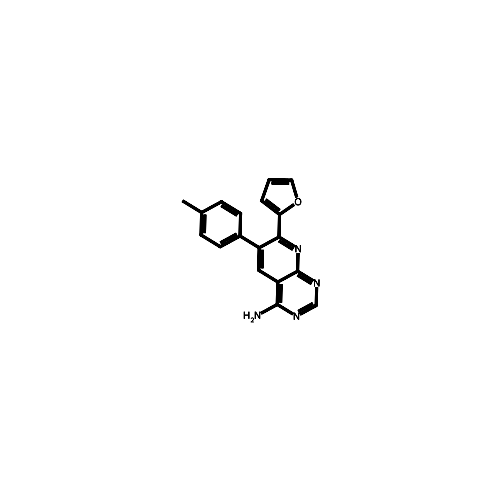 Cc1ccc(-c2cc3c(N)ncnc3nc2-c2ccco2)cc1